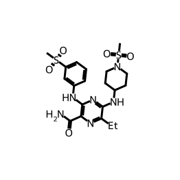 CCc1nc(C(N)=O)c(Nc2cccc(S(C)(=O)=O)c2)nc1NC1CCN(S(C)(=O)=O)CC1